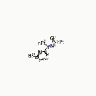 CCC/C(=N\[S@+]([O-])C(C)C)c1cncc(Br)n1